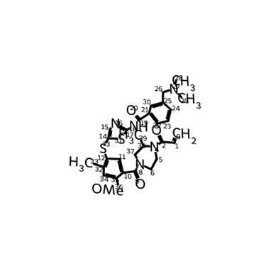 C=CC(=O)N1CCN(C(=O)c2cc(Sc3cnc(NC(=O)c4cccc(CN(C)C)c4)s3)c(C)cc2OC)CC1C